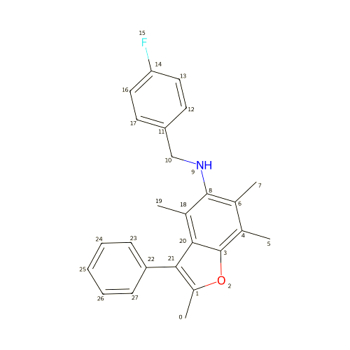 Cc1oc2c(C)c(C)c(NCc3ccc(F)cc3)c(C)c2c1-c1ccccc1